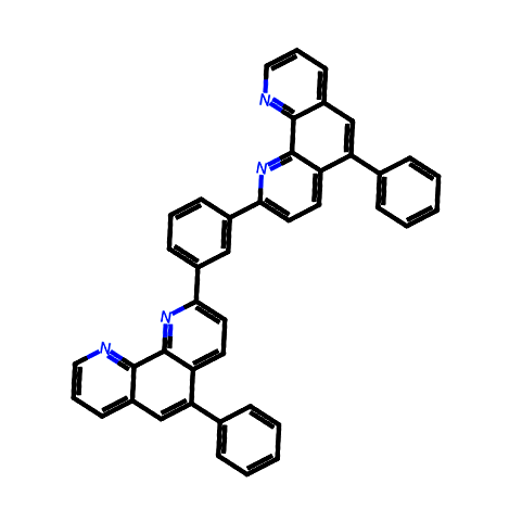 c1ccc(-c2cc3cccnc3c3nc(-c4cccc(-c5ccc6c(-c7ccccc7)cc7cccnc7c6n5)c4)ccc23)cc1